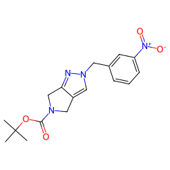 CC(C)(C)OC(=O)N1Cc2cn(Cc3cccc([N+](=O)[O-])c3)nc2C1